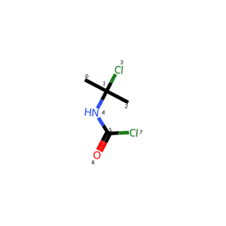 CC(C)(Cl)NC(=O)Cl